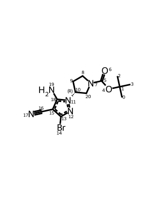 CC(C)(C)OC(=O)N1CC[C@@H](n2nc(Br)c(C#N)c2N)C1